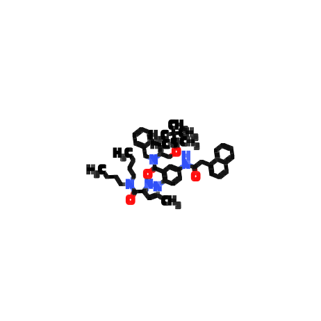 CCCCN(CCCC)C(=O)c1cc(C)n(-c2ccc(NC(=O)Cc3cccc4ccccc34)cc2C(=O)N2Cc3ccccc3CC2CO[Si](C)(C)C(C)(C)C)n1